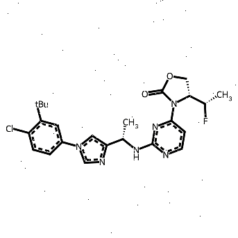 C[C@H](Nc1nccc(N2C(=O)OC[C@@H]2[C@H](C)F)n1)c1cn(-c2ccc(Cl)c(C(C)(C)C)c2)cn1